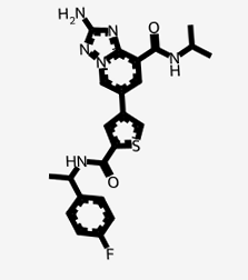 CC(C)NC(=O)c1cc(-c2csc(C(=O)NC(C)c3ccc(F)cc3)c2)cn2nc(N)nc12